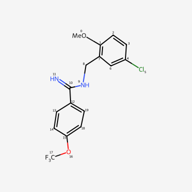 COc1ccc(Cl)cc1CNC(=N)c1ccc(OC(F)(F)F)cc1